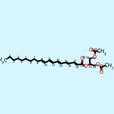 CCCCCCCCC/C=C/C=C/C=C/C=C/C=C/C(=O)OC(COC(C)=O)COC(C)=O